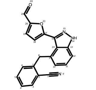 N#Cc1ccccc1Cc1cccc2[nH]nc(-c3ccc(C=O)o3)c12